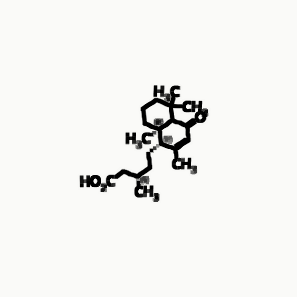 CC1=CC(=O)C2C(C)(C)CCC[C@]2(C)[C@H]1CC[C@H](C)CC(=O)O